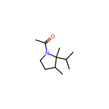 CC(=O)N1CCC(C)C1(C)C(C)C